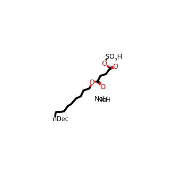 CCCCCCCCCCCCCCCCCCOC(=O)CCC(=O)OS(=O)(=O)O.[NaH].[NaH]